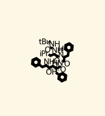 CC(C)CC(NC(=O)NC(C)(C)C)C(=O)NC(Cc1ccccc1)C(=O)NC(=O)[C@H](Cc1ccccc1)C[C@H](O)[C@@H](N)Cc1ccccc1